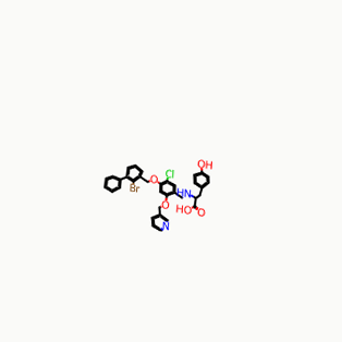 O=C(O)C(Cc1ccc(O)cc1)NCc1cc(Cl)c(OCc2cccc(-c3ccccc3)c2Br)cc1OCc1cccnc1